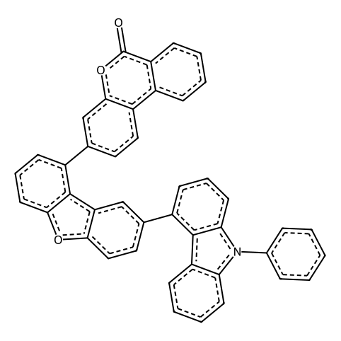 O=c1oc2cc(-c3cccc4oc5ccc(-c6cccc7c6c6ccccc6n7-c6ccccc6)cc5c34)ccc2c2ccccc12